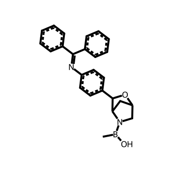 CB(O)N1CC2CC1C(c1ccc(N=C(c3ccccc3)c3ccccc3)cc1)O2